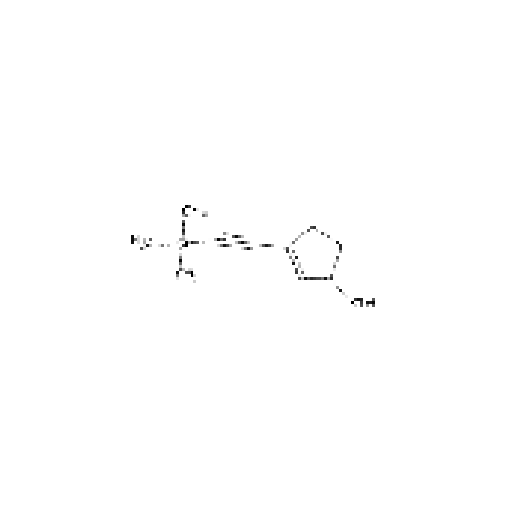 C[Si](C)(C)C#CC1=CC(O)CC1